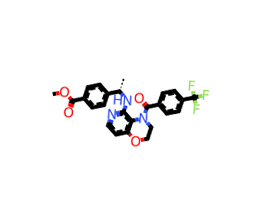 COC(=O)c1ccc([C@H](C)Nc2nccc3c2N(C(=O)c2ccc(C(F)(F)F)cc2)CCO3)cc1